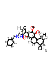 Cc1c(CNCc2ccccc2)oc2c1C(=O)C(=O)c1c-2ccc2c(C)ccc(C)c12